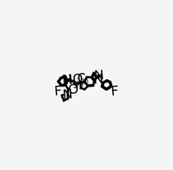 C[C@]12Cc3cnn(-c4ccc(F)cc4)c3C=C1CC[C@@]2(O)CCc1cccc(F)c1C(=O)N1CCC1